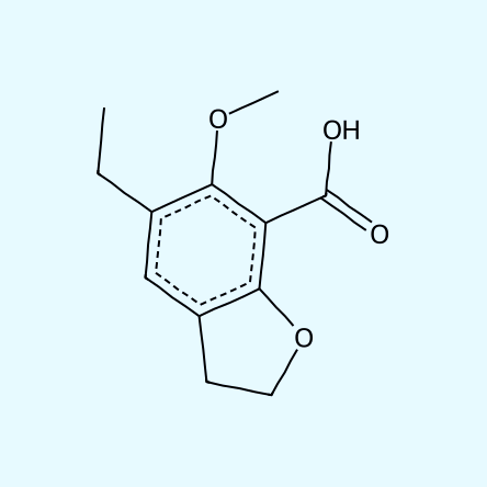 CCc1cc2c(c(C(=O)O)c1OC)OCC2